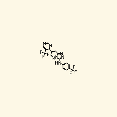 FC(F)(F)c1ccc(Nc2nnc3cc(-c4ncncc4C(F)(F)F)cnn23)cc1